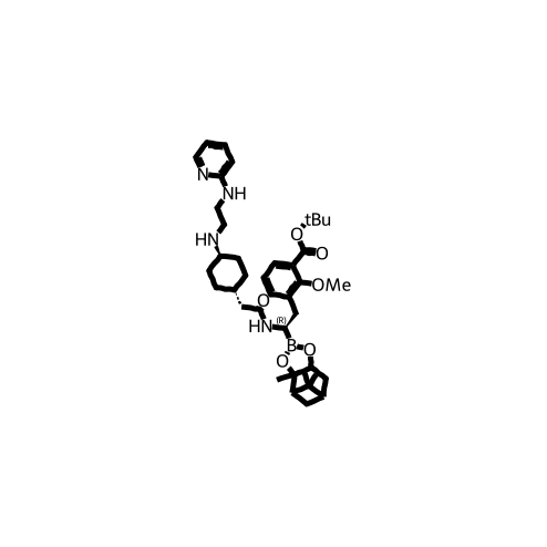 COc1c(C[C@H](NC(=O)C[C@H]2CC[C@H](NCCNc3ccccn3)CC2)B2OC3CC4CC(C4(C)C)C3(C)O2)cccc1C(=O)OC(C)(C)C